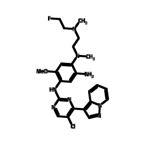 COc1cc(N(C)CCN(C)CCF)c(N)cc1Nc1ncc(Cl)c(-c2cnn3ccccc23)n1